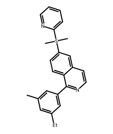 CCc1cc(C)cc(-c2nccc3cc(S(C)(C)c4ccccn4)ccc23)c1